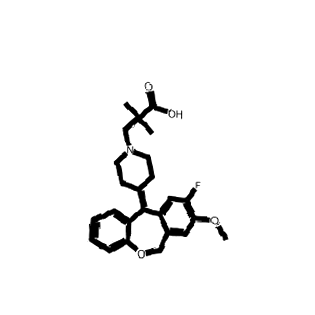 COc1cc2c(cc1F)C(=C1CCN(CC(C)(C)C(=O)O)CC1)c1ccccc1OC2